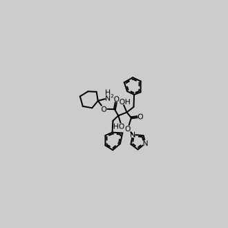 NC1(OC(=O)C(O)(Cc2ccccc2)C(O)(Cc2ccccc2)C(=O)On2ccnc2)CCCCC1